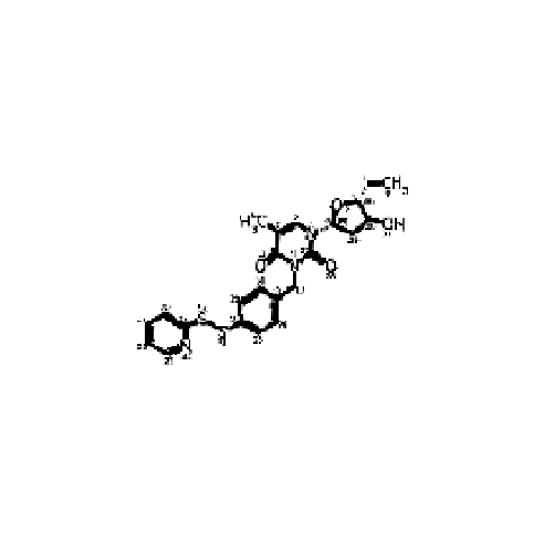 CC[C@H]1O[C@@H](n2cc(C)c(=O)n(Cc3ccc(SSc4ccccn4)cc3)c2=O)CC1O